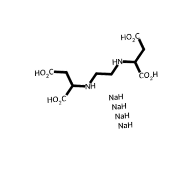 O=C(O)CC(NCCNC(CC(=O)O)C(=O)O)C(=O)O.[NaH].[NaH].[NaH].[NaH]